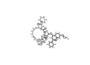 COc1ccc2c(O[C@@H]3C[C@H]4C(=O)NC5(C(=O)O)CC5C=CCCCCC[C@@H](CC(=O)N5CCCCC5)C(=O)N4C3)cc(-c3ccccc3)nc2c1